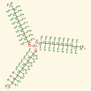 FC(F)(F)C(F)(F)C(F)(F)C(F)(F)C(F)(F)C(F)(F)C(F)(F)C(F)(F)C(F)(F)C(F)(F)OP(OC(F)(F)C(F)(F)C(F)(F)C(F)(F)C(F)(F)C(F)(F)C(F)(F)C(F)(F)C(F)(F)C(F)(F)F)OC(F)(F)C(F)(F)C(F)(F)C(F)(F)C(F)(F)C(F)(F)C(F)(F)C(F)(F)C(F)(F)C(F)(F)F